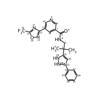 CC(C)(CNC(=O)c1cncc(-c2noc(C(F)(F)F)n2)c1)C1=CN(c2ccccc2)NN1